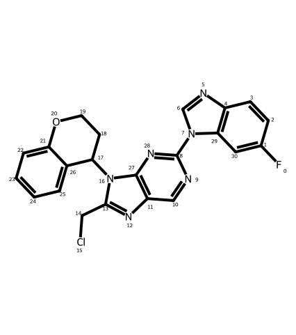 Fc1ccc2ncn(-c3ncc4nc(CCl)n(C5CCOc6ccccc65)c4n3)c2c1